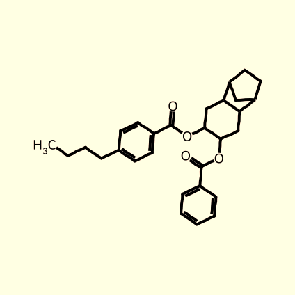 CCCCc1ccc(C(=O)OC2CC3C4CCC(C4)C3CC2OC(=O)c2ccccc2)cc1